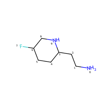 NCCC1CCC(F)CN1